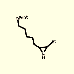 CCCCCCCCCCC1NC1CC